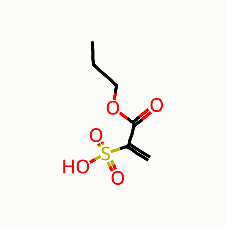 C=C(C(=O)OCCC)S(=O)(=O)O